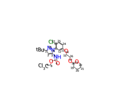 CC(C)(C)c1cc(NC(=O)OCC(Cl)(Cl)Cl)n(-c2cc(OCCOC3CCCCO3)ccc2Cl)n1